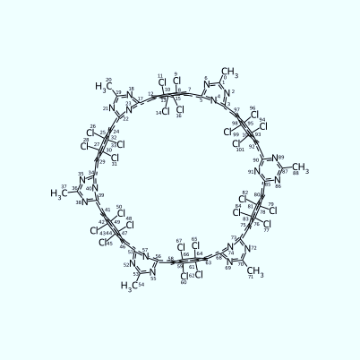 Cc1nc2nc(n1)c1c(Cl)c(Cl)c(c(Cl)c1Cl)c1nc(C)nc(n1)c1c(Cl)c(Cl)c(c(Cl)c1Cl)c1nc(C)nc(n1)c1c(Cl)c(Cl)c(c(Cl)c1Cl)c1nc(C)nc(n1)c1c(Cl)c(Cl)c(c(Cl)c1Cl)c1nc(C)nc(n1)c1c(Cl)c(Cl)c(c(Cl)c1Cl)c1nc(C)nc(n1)c1c(Cl)c(Cl)c2c(Cl)c1Cl